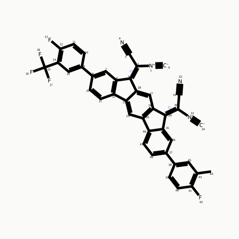 [C-]#[N+]/C(C#N)=C1/c2cc(-c3ccc(F)c(C(F)(F)F)c3)ccc2-c2cc3c(cc21)/C(=C(\C#N)[N+]#[C-])c1cc(-c2ccc(F)c(C)c2)ccc1-3